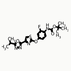 CC(C)c1nnc(-c2csc(Oc3ccc(NC(=O)OC(C)(C)C)c(F)c3)n2)o1